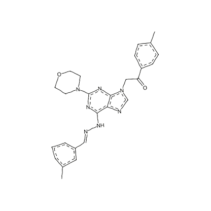 Cc1ccc(C(=O)Cn2cnc3c(N/N=C/c4cccc(C)c4)nc(N4CCOCC4)nc32)cc1